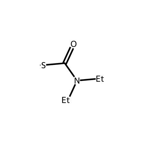 CCN(CC)C(=O)[S]